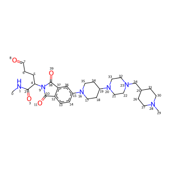 CNC(=O)C(CCC=O)N1C(=O)c2ccc(N3CCC(N4CCN(CC5CCN(C)CC5)CC4)CC3)cc2C1=O